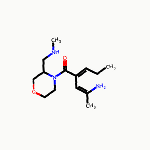 CC/C=C(\C=C(\C)N)C(=O)N1CCOCC1CNC